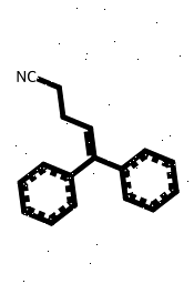 N#CCCC=C(c1ccccc1)c1ccccc1